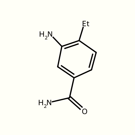 CCc1ccc(C(N)=O)cc1N